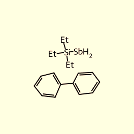 CC[Si]([SbH2])(CC)CC.c1ccc(-c2ccccc2)cc1